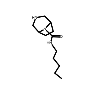 CCCCCNC(=O)N1C2CCC1CNC2